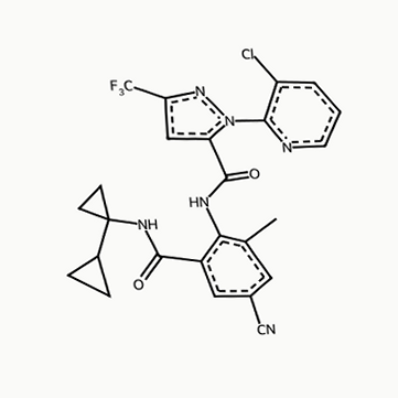 Cc1cc(C#N)cc(C(=O)NC2(C3CC3)CC2)c1NC(=O)c1cc(C(F)(F)F)nn1-c1ncccc1Cl